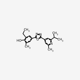 CCc1cc(-c2nnc(-c3cc(C)nc(C(C)C)c3)o2)cc(C)c1O